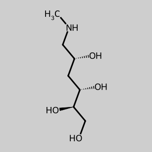 CNC[C@H](O)C[C@H](O)[C@H](O)CO